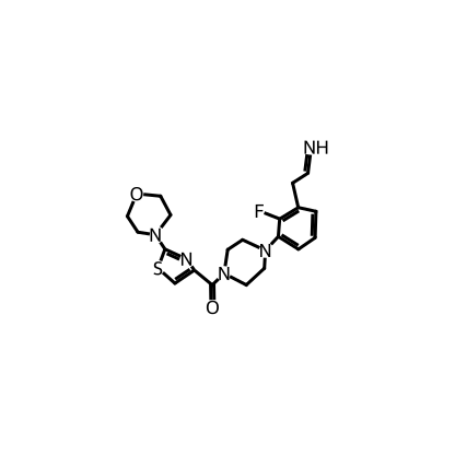 N=CCc1cccc(N2CCN(C(=O)c3csc(N4CCOCC4)n3)CC2)c1F